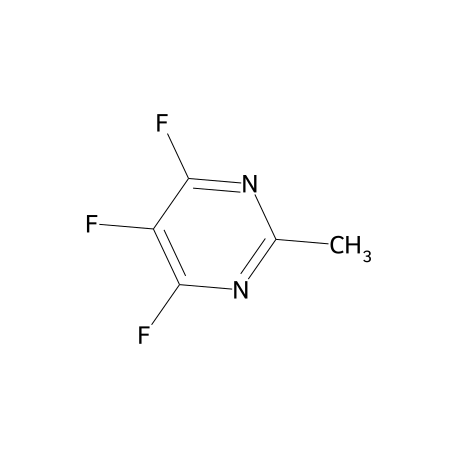 Cc1nc(F)c(F)c(F)n1